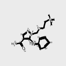 C[Si](C)(C)CCOCn1ncc(C(N)=O)c1Nc1ccccc1